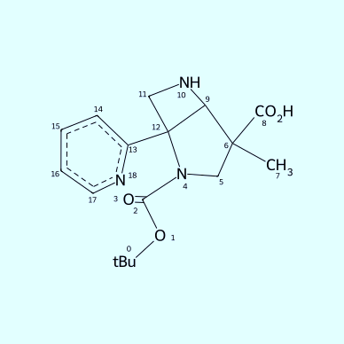 CC(C)(C)OC(=O)N1CC(C)(C(=O)O)C2NCC21c1ccccn1